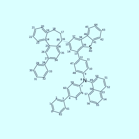 c1ccc(-c2ccc(N(c3ccc(-c4cc([C@H]5CCc6ccccc6-c6cc(-c7ccccc7)ccc65)cc5c4sc4ccccc45)cc3)c3cccc4ccccc34)cc2)cc1